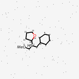 COC[SiH](CC1CCCCC1)C1CCCO1